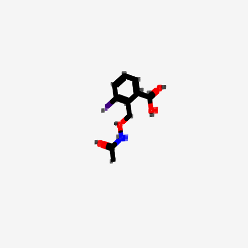 CC(=O)NOCc1c(I)cccc1C(=O)O